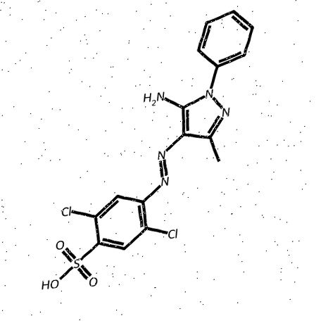 Cc1nn(-c2ccccc2)c(N)c1/N=N/c1cc(Cl)c(S(=O)(=O)O)cc1Cl